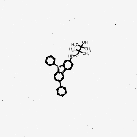 CC(C)(O)C(C)(C)OBc1ccc2c3cc(-c4ccccc4)ccc3n(-c3ccccc3)c2c1